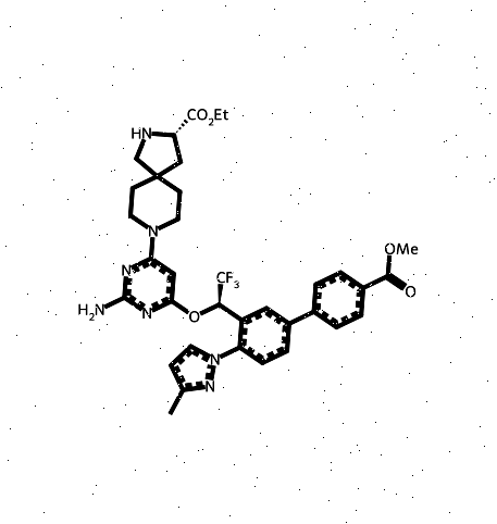 CCOC(=O)[C@@H]1CC2(CCN(c3cc(O[C@H](c4cc(-c5ccc(C(=O)OC)cc5)ccc4-n4ccc(C)n4)C(F)(F)F)nc(N)n3)CC2)CN1